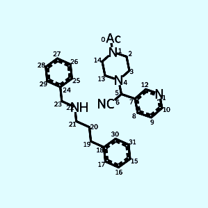 CC(=O)N1CCN(C(C#N)c2cccnc2)CC1.c1ccc(CCCNCc2ccccc2)cc1